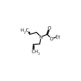 C=CCN(CC=C)C(=O)OCC